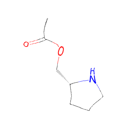 CC(=O)OC[C@H]1CCCN1